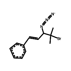 CC(C)(Br)C(/C=C/c1ccccc1)N=[N+]=[N-]